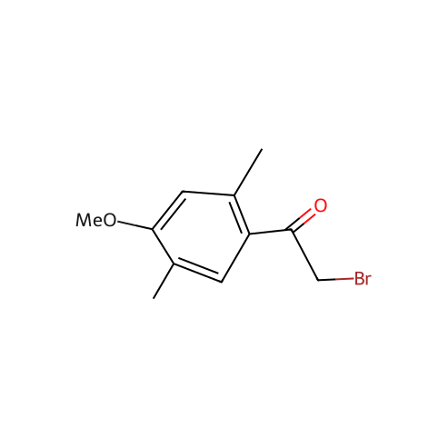 COc1cc(C)c(C(=O)CBr)cc1C